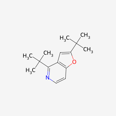 CC(C)(C)c1cc2c(C(C)(C)C)nccc2o1